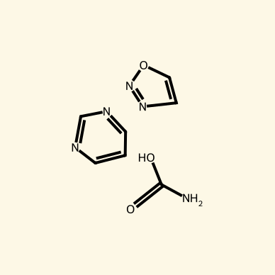 NC(=O)O.c1cncnc1.c1conn1